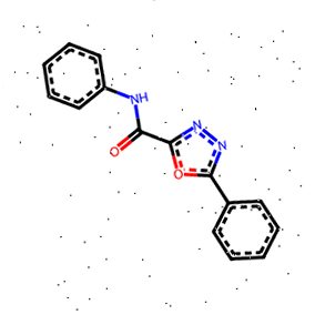 O=C(Nc1ccccc1)c1nnc(-c2ccccc2)o1